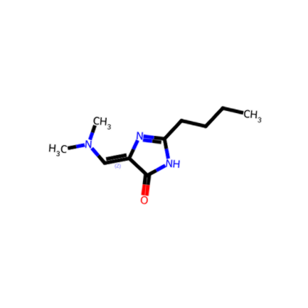 CCCCC1=N/C(=C\N(C)C)C(=O)N1